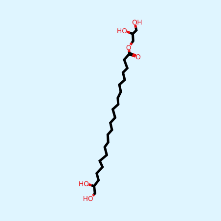 O=C(CCCCCCCCCCCCCCCCCCCCC(O)CO)OCC(O)CO